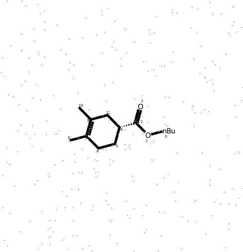 CCCCOC(=O)[C@@H]1CCC(C)=C(C)C1